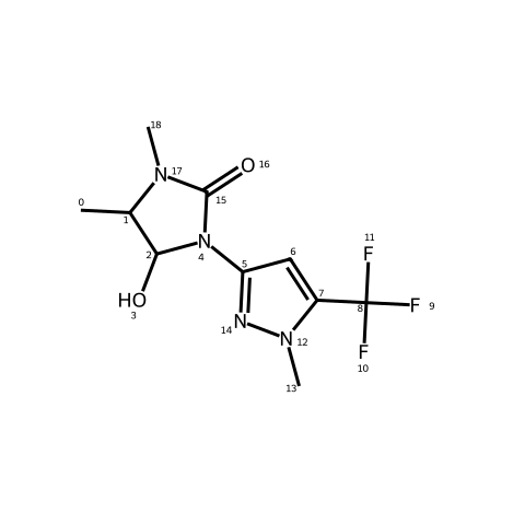 CC1C(O)N(c2cc(C(F)(F)F)n(C)n2)C(=O)N1C